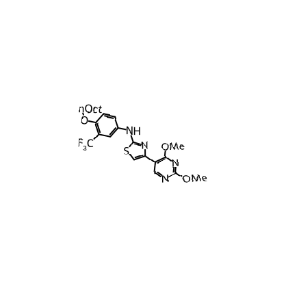 CCCCCCCCOc1ccc(Nc2nc(-c3cnc(OC)nc3OC)cs2)cc1C(F)(F)F